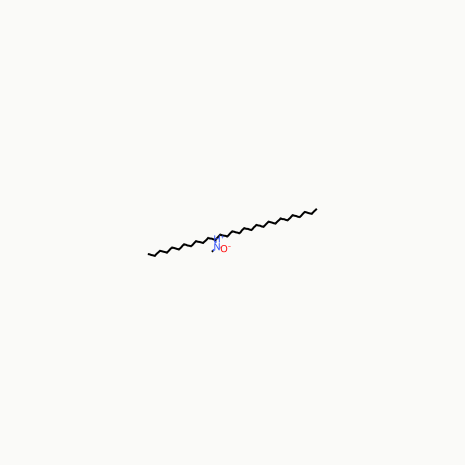 CCCCCCCCCCCCCCCCCC(CCCCCCCCCCC)[NH+](C)[O-]